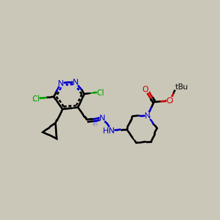 CC(C)(C)OC(=O)N1CCCC(N/N=C/c2c(Cl)nnc(Cl)c2C2CC2)C1